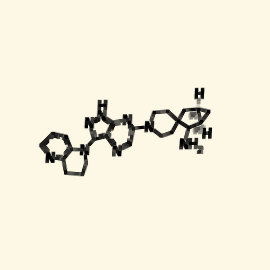 NC1[C@@H]2C[C@@H]2CC12CCN(c1cnc3c(N4CCCc5ncccc54)n[nH]c3n1)CC2